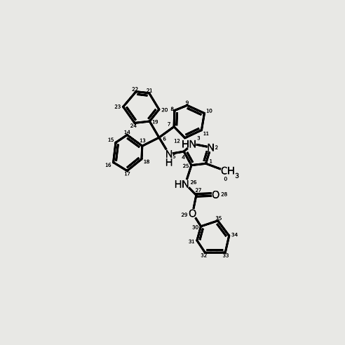 Cc1n[nH]c(NC(c2ccccc2)(c2ccccc2)c2ccccc2)c1NC(=O)Oc1ccccc1